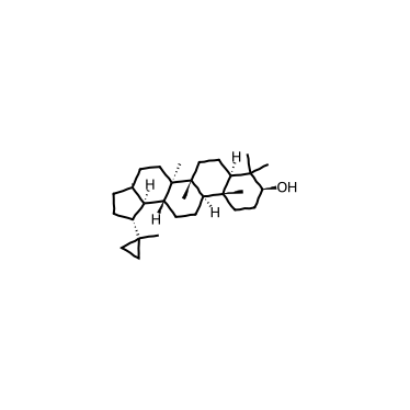 CC1([C@@H]2CC[C]3CC[C@]4(C)[C@H](CC[C@@H]5[C@@]6(C)CC[C@H](O)C(C)(C)[C@@H]6CC[C@]54C)[C@H]32)CC1